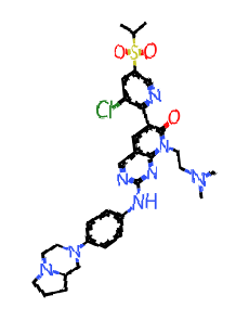 CC(C)S(=O)(=O)c1cnc(-c2cc3cnc(Nc4ccc(N5CCN6CCCC6C5)cc4)nc3n(CCN(C)C)c2=O)c(Cl)c1